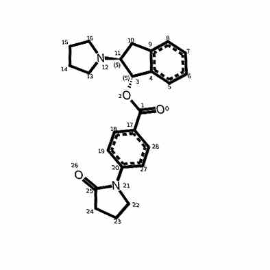 O=C(O[C@H]1c2ccccc2C[C@@H]1N1CCCC1)c1ccc(N2CCCC2=O)cc1